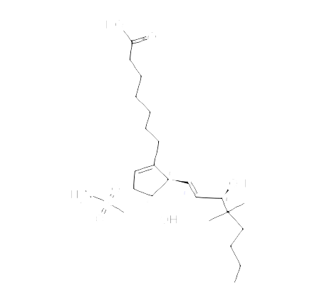 CCCCC(C)(C)[C@H](O)/C=C/[C@@H]1C(CCCCCCC(=O)O)=CC[C@H]1O.CS(N)(=O)=O